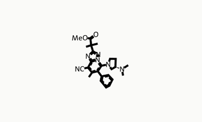 COC(=O)C(C)(C)c1nc2c(C#N)c(C)c(-c3ccccc3)c(N3CC[C@H](N(C)C)C3)n2n1